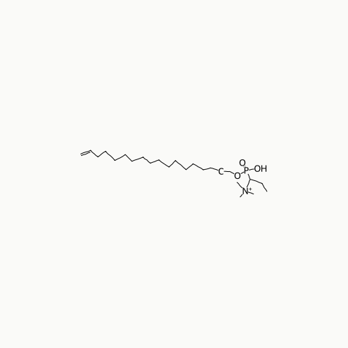 C=CCCCCCCCCCCCCCCCCOP(=O)(O)C(CC)[N+](C)(C)C